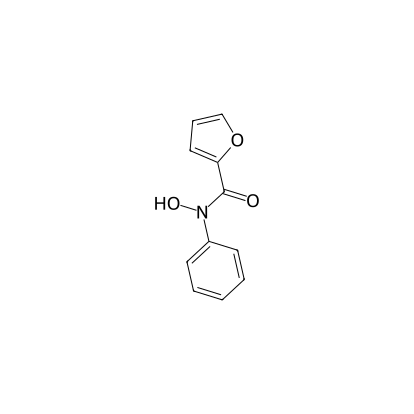 O=C(c1ccco1)N(O)c1ccccc1